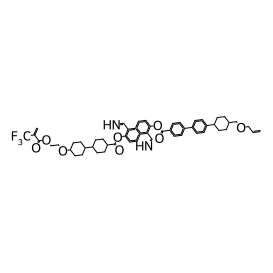 C=CCOCC1CCC(c2ccc(-c3ccc(C(=O)Oc4ccc5c(C=N)c(OC(=O)C6CCC(C7CCC(OCCOC(=O)C(=C)C(F)(F)F)CC7)CC6)ccc5c4C=N)cc3)cc2)CC1